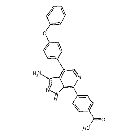 Nc1n[nH]c2c(-c3ccc(C(=O)O)cc3)ncc(-c3ccc(Oc4ccccc4)cc3)c12